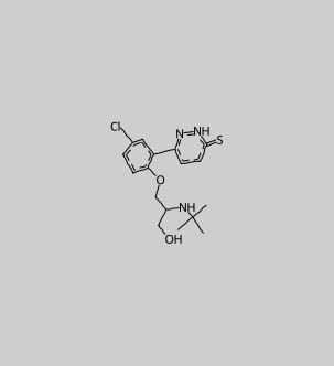 CC(C)(C)NC(CO)COc1ccc(Cl)cc1-c1ccc(=S)[nH]n1